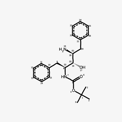 CC(C)(C)OC(=O)N[C@@H](Cc1ccccc1)[C@@H](O)[C@@H](N)Cc1ccccc1